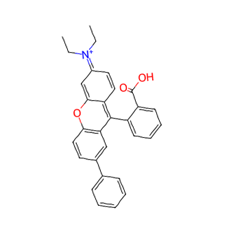 CC[N+](CC)=c1ccc2c(-c3ccccc3C(=O)O)c3cc(-c4ccccc4)ccc3oc-2c1